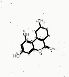 CC1CCc2c(c3c(O)cc(O)cc3oc2=O)C1